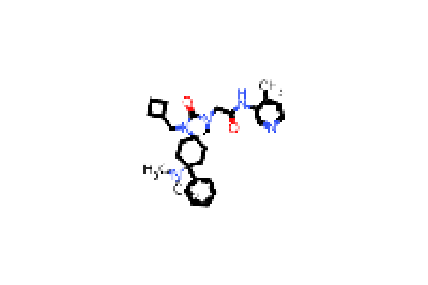 Cc1ccncc1NC(=O)CN1C[C@]2(CC[C@@](c3ccccc3)(N(C)C)CC2)N(CC2CCC2)C1=O